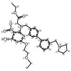 CCOCCOc1nc(N)c([N+](=O)[O-])c(N(CC(=O)OCC)Cc2ccc(-c3cccc(CN4CCCC4)c3)cc2)n1